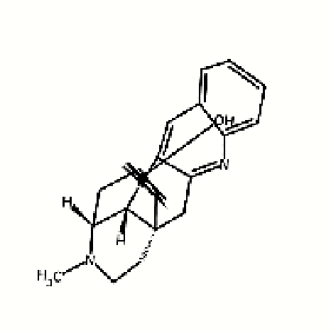 CN1CC[C@]23Cc4nc5ccccc5cc4C[C@H]2[C@H]1Cc1ccc(O)cc13